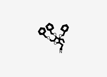 CCC1(OCc2ccccc2)C(CC#N)OC(COCc2ccccc2)C1OCc1ccccc1